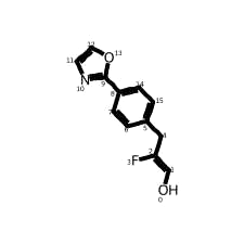 O/C=C(\F)Cc1ccc(-c2ncco2)cc1